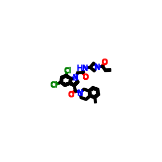 C=CC(=O)N1CC(NC(=O)Cn2cc(C(=O)N3CCc4c(C)cccc4C3)c3cc(Cl)cc(Cl)c32)C1